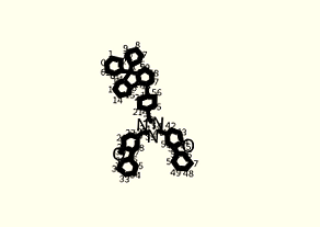 c1ccc(C2(c3ccccc3)c3ccccc3-c3c(-c4ccc(-c5nc(-c6ccc7oc8ccccc8c7c6)nc(-c6ccc7oc8ccccc8c7c6)n5)cc4)cccc32)cc1